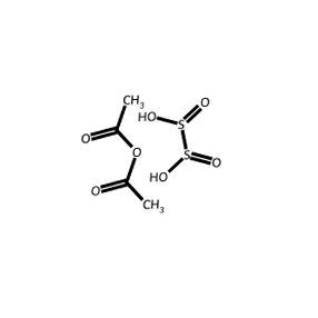 CC(=O)OC(C)=O.O=S(O)S(=O)O